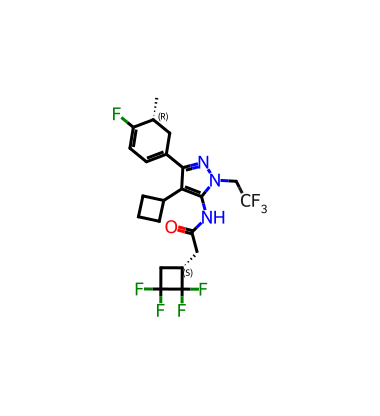 C[C@@H]1CC(c2nn(CC(F)(F)F)c(NC(=O)C[C@H]3CC(F)(F)C3(F)F)c2C2CCC2)=CC=C1F